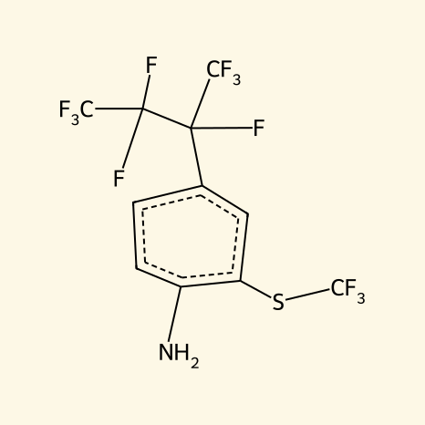 Nc1ccc(C(F)(C(F)(F)F)C(F)(F)C(F)(F)F)cc1SC(F)(F)F